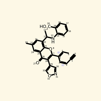 C#C/C=C\C(=C/C)c1oc2c(C(C)Nc3ccccc3C(=O)O)cc(C)cc2c(=O)c1-c1cnoc1